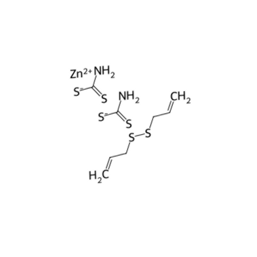 C=CCSSCC=C.NC(=S)[S-].NC(=S)[S-].[Zn+2]